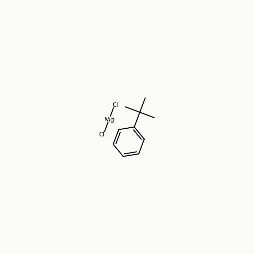 CC(C)(C)c1ccccc1.[Cl][Mg][Cl]